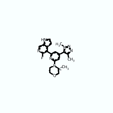 Cc1nnn(C)c1-c1cc(-c2c(F)ncc3[nH]ccc23)nc(N2CCOC[C@H]2C)c1